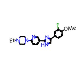 CCN1CCN(c2ccc(-c3nc(-c4ccc(OC)c(F)c4)c[nH]3)cn2)CC1